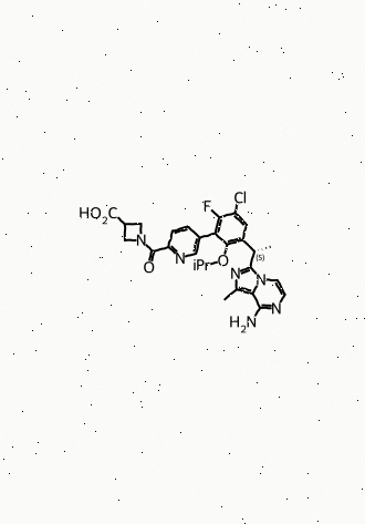 Cc1nc([C@@H](C)c2cc(Cl)c(F)c(-c3ccc(C(=O)N4CC(C(=O)O)C4)nc3)c2OC(C)C)n2ccnc(N)c12